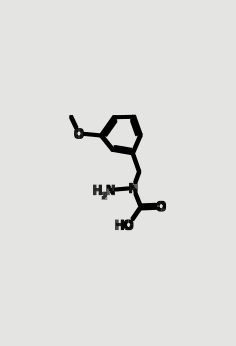 COc1cccc(CN(N)C(=O)O)c1